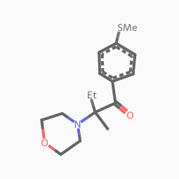 CCC(C)(C(=O)c1ccc(SC)cc1)N1CCOCC1